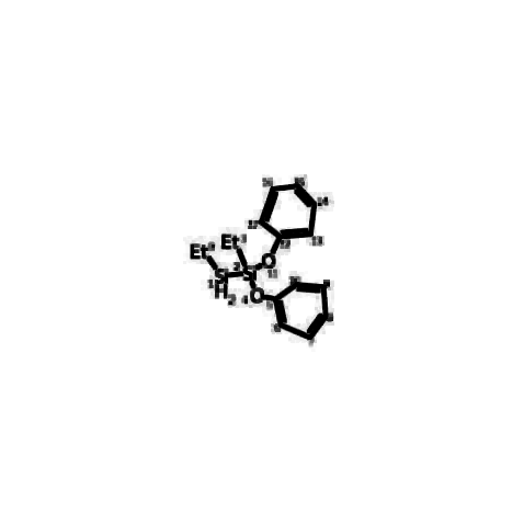 CC[SiH2][Si](CC)(Oc1ccccc1)Oc1ccccc1